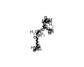 CC(C)(CNC(=O)CCCCC1SCC2NC(=O)NC21)SSCOC1C[C@H](n2cnc3c(=O)[nH]c(N)nc32)O[C@@H]1CO[PH](=O)O